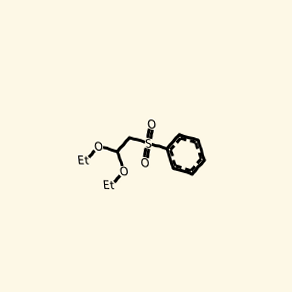 CCOC(CS(=O)(=O)c1ccccc1)OCC